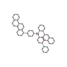 c1ccc(-c2ccc(N(c3ccc(-c4cccc5c4ccc4c6ccccc6ccc54)cc3)c3ccccc3-c3ccc4ccccc4c3)cc2)cc1